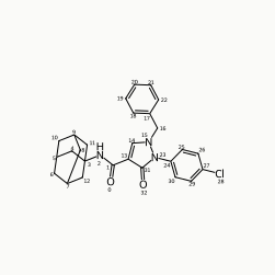 O=C(NC12CC3CC(CC(C3)C1)C2)c1cn(Cc2ccccc2)n(-c2ccc(Cl)cc2)c1=O